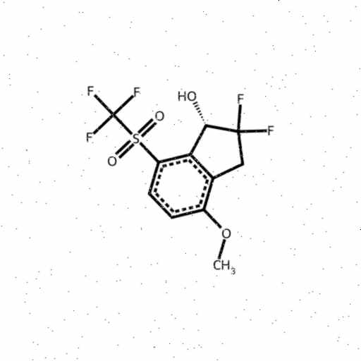 COc1ccc(S(=O)(=O)C(F)(F)F)c2c1CC(F)(F)[C@H]2O